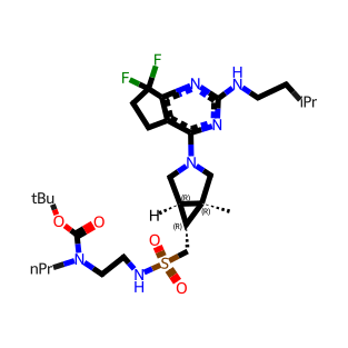 CCCN(CCNS(=O)(=O)C[C@@H]1[C@H]2CN(c3nc(NCCC(C)C)nc4c3CCC4(F)F)C[C@]21C)C(=O)OC(C)(C)C